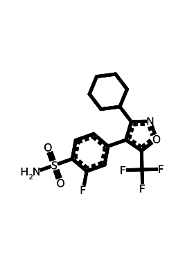 NS(=O)(=O)c1ccc(-c2c(C3CCCCC3)noc2C(F)(F)F)cc1F